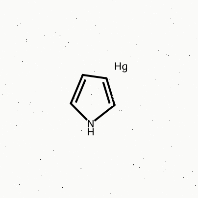 [Hg].c1cc[nH]c1